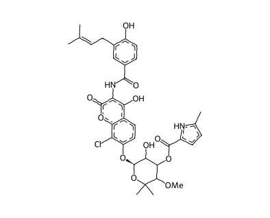 COC1C(OC(=O)c2ccc(C)[nH]2)C(O)[C@H](Oc2ccc3c(O)c(NC(=O)c4ccc(O)c(CC=C(C)C)c4)c(=O)oc3c2Cl)OC1(C)C